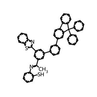 C/C(=N\c1ccccc1S)c1cc(-c2cccc(-c3ccc4c(c3)C(c3ccccc3)(c3ccccc3)c3ccccc3-4)c2)cc(-c2nc3ccccc3s2)c1